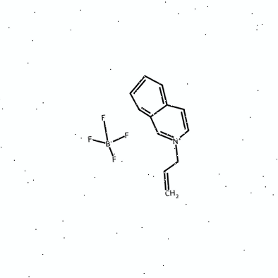 C=CC[n+]1ccc2ccccc2c1.F[B-](F)(F)F